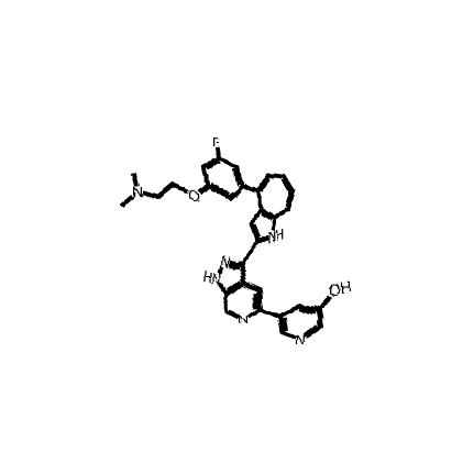 CN(C)CCOc1cc(F)cc(C2=CC=C=Cc3[nH]c(-c4n[nH]c5cnc(-c6cncc(O)c6)cc45)cc32)c1